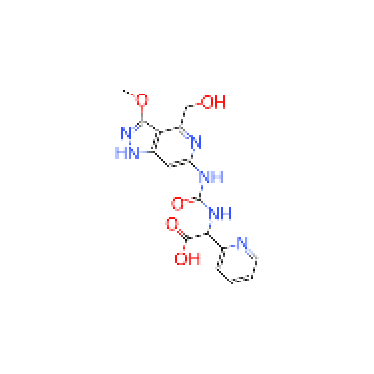 COc1n[nH]c2cc(NC(=O)NC(C(=O)O)c3ccccn3)nc(CO)c12